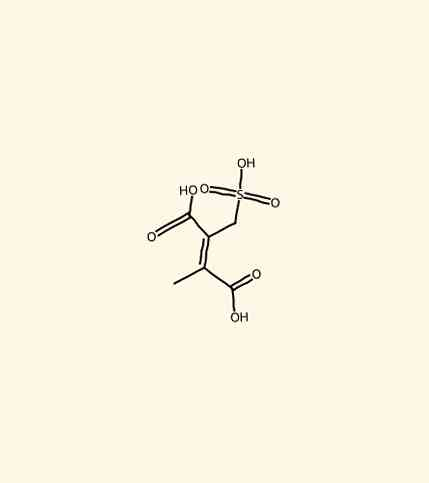 C/C(C(=O)O)=C(/CS(=O)(=O)O)C(=O)O